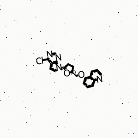 Clc1ncnc2c1ccn2[C@H]1CC[C@@H](COc2cccc3ncccc23)O1